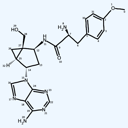 COc1ccc(C[C@H](N)C(=O)N[C@H]2C[C@H](n3cnc4c(N)ncnc43)[C@H]3C[C@]23CO)cc1